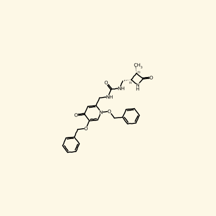 C[C@@H]1C(=O)N[C@@H]1CNC(=O)NCc1cc(=O)c(OCc2ccccc2)cn1OCc1ccccc1